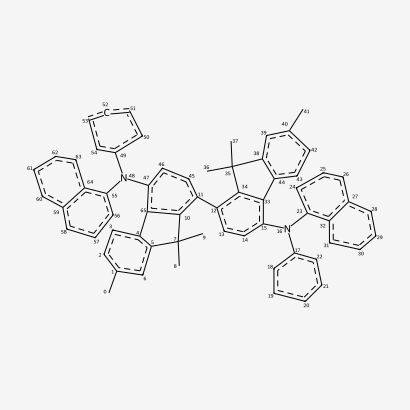 Cc1ccc2c(c1)C(C)(C)c1c(-c3ccc(N(c4ccccc4)c4cccc5ccccc45)c4c3C(C)(C)c3cc(C)ccc3-4)ccc(N(c3ccccc3)c3cccc4ccccc34)c1-2